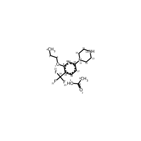 CC(=O)O.CCCOc1nc(N2CCNCC2)ccc1C(F)(F)F